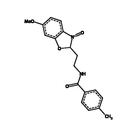 COc1ccc2c(c1)OC(CCNC(=O)c1ccc(C)cc1)[N+]2=O